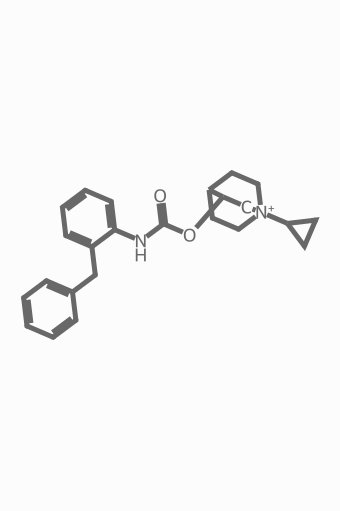 O=C(Nc1ccccc1Cc1ccccc1)OC1C[N+]2(C3CC3)CCC1CC2